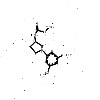 CCOC(=O)c1cc(OC(F)(F)F)cc(N2CCC(NC(=O)OC(C)(C)C)C2)c1